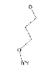 [CH2]CCOCCC[O]